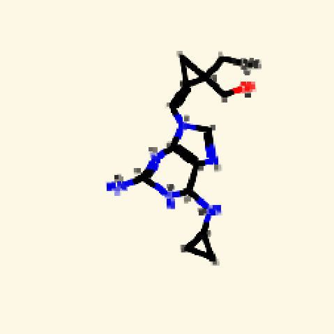 CC(=O)OCC1(CO)C/C1=C/n1cnc2c1N=C(N)NC2NC1CC1